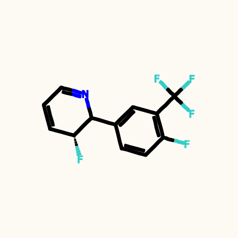 Fc1ccc(C2N=CC=C[C@H]2F)cc1C(F)(F)F